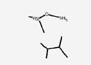 CC(C)C(C)C.C[SiH](C)O[SiH3]